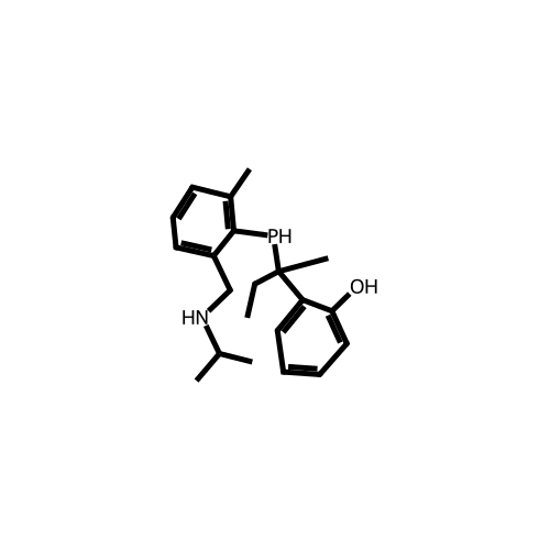 CCC(C)(Pc1c(C)cccc1CNC(C)C)c1ccccc1O